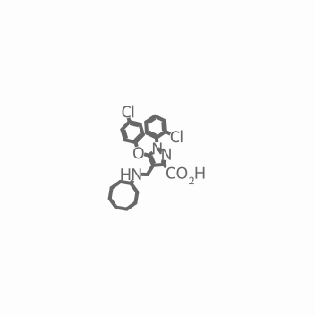 O=C(O)c1nn(-c2ccccc2Cl)c(Oc2ccc(Cl)cc2)c1CNC1CCCCCCC1